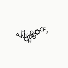 O=S(=O)(c1ccc(C(F)(F)F)cc1)N1C[C@H]2CC[C@H](NCC3CC3)[C@H]2C1